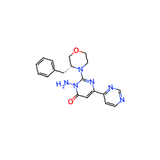 Nn1c(N2CCOC[C@H]2Cc2ccccc2)nc(-c2ccncn2)cc1=O